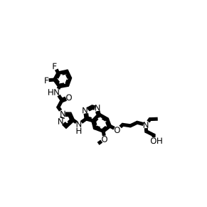 CCN(CCO)CCCOc1cc2ncnc(Nc3cnn(CC(=O)Nc4cccc(F)c4F)c3)c2cc1OC